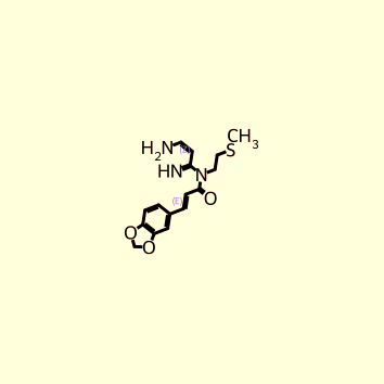 CSCCN(C(=N)/C=C\N)C(=O)/C=C/c1ccc2c(c1)OCO2